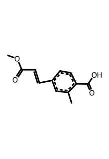 COC(=O)/C=C/c1ccc(C(=O)O)c(C)c1